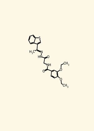 CCOc1ccc(C(=O)NCC(=O)N/N=C(\C)c2csc3ccccc23)cc1OCC